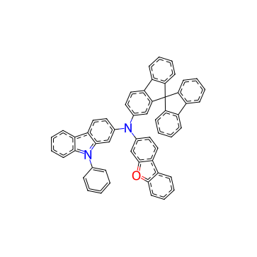 C1=C=CC(n2c3ccccc3c3ccc(N(c4ccc5c(c4)C4(c6ccccc6-c6ccccc64)c4ccccc4-5)c4ccc5c(c4)oc4ccccc45)cc32)=CC=1